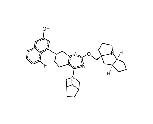 Oc1cc(N2CCc3c(nc(OC[C@@]45CCCN4[C@H]4CCC[C@H]4C5)nc3N3CC4CCC(C3)N4)C2)c2c(F)cccc2c1